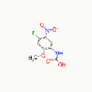 COc1cc(F)c([N+](=O)[O-])cc1NC(=O)O